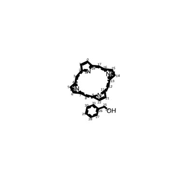 C1=Cc2cc3ccc(cc4nc(cc5ccc(cc1n2)[nH]5)C=C4)[nH]3.OCc1ccccc1